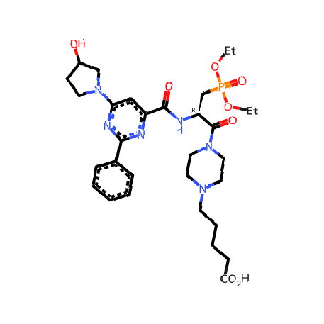 CCOP(=O)(C[C@H](NC(=O)c1cc(N2CCC(O)C2)nc(-c2ccccc2)n1)C(=O)N1CCN(CCCCC(=O)O)CC1)OCC